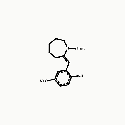 CCCCCCCN1CCCCCC1=Nc1cc(OC)ccc1C#N